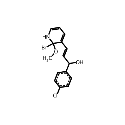 COC1(Br)NC=CC=C1/C=C/C(O)c1ccc(Cl)cc1